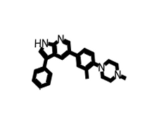 Cc1cc(-c2cnc3[nH]cc(-c4cc[c]cc4)c3c2)ccc1N1CCN(C)CC1